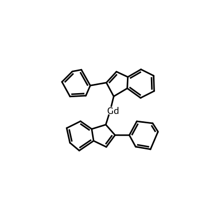 C1=C(c2ccccc2)[CH]([Gd][CH]2C(c3ccccc3)=Cc3ccccc32)c2ccccc21